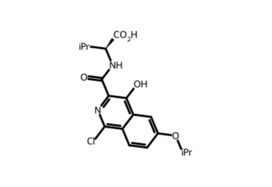 CC(C)Oc1ccc2c(Cl)nc(C(=O)N[C@H](C(=O)O)C(C)C)c(O)c2c1